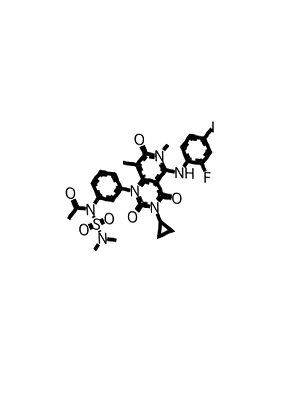 CC(=O)N(c1cccc(-n2c(=O)n(C3CC3)c(=O)c3c(Nc4ccc(I)cc4F)n(C)c(=O)c(C)c32)c1)S(=O)(=O)N(C)C